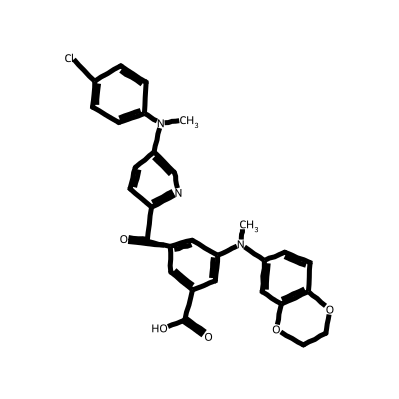 CN(c1ccc(Cl)cc1)c1ccc(C(=O)c2cc(C(=O)O)cc(N(C)c3ccc4c(c3)OCCO4)c2)nc1